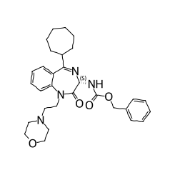 O=C(N[C@H]1N=C(C2CCCCCC2)c2ccccc2N(CCN2CCOCC2)C1=O)OCc1ccccc1